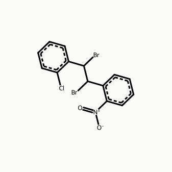 O=[N+]([O-])c1ccccc1C(Br)C(Br)c1ccccc1Cl